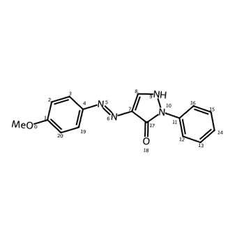 COc1ccc(N=Nc2c[nH]n(-c3ccccc3)c2=O)cc1